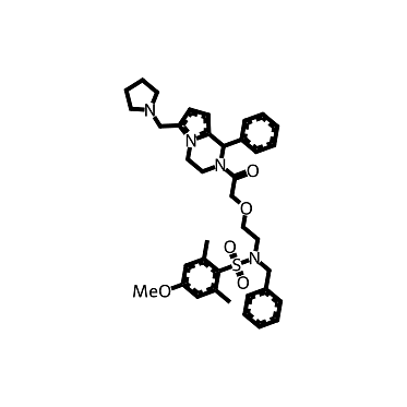 COc1cc(C)c(S(=O)(=O)N(CCOCC(=O)N2CCn3c(CN4CCCC4)ccc3C2c2ccccc2)Cc2ccccc2)c(C)c1